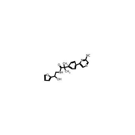 [C-]#[N+]c1cncc(-c2ccc(C(C)(C)C(=O)NCC(O)c3ccco3)cc2)n1